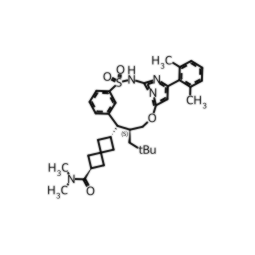 Cc1cccc(C)c1-c1cc2nc(n1)NS(=O)(=O)c1cccc(c1)C([C@H]1CC3(C[C@H](C(=O)N(C)C)C3)C1)[C@H](CC(C)(C)C)CO2